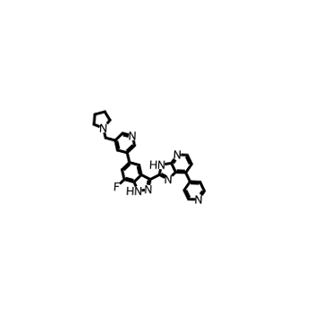 Fc1cc(-c2cncc(CN3CCCC3)c2)cc2c(-c3nc4c(-c5ccncc5)ccnc4[nH]3)n[nH]c12